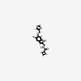 O=C(NCc1cc2cc(F)c(OCc3cscn3)cc2[nH]1)C1CCC1